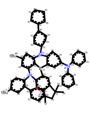 CC(C)(C)c1ccc(N2c3cc4c(cc3B3c5cc(N(c6ccccc6)c6ccccc6)ccc5N(c5ccc(-c6ccccc6)cc5)c5cc(C(C)(C)C)cc2c53)C(C)(C)CC4(C)C)c(-c2ccccc2)c1